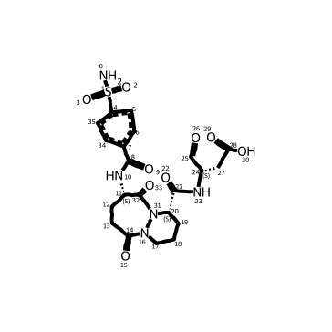 NS(=O)(=O)c1ccc(C(=O)N[C@H]2CCC(=O)N3CCC[C@@H](C(=O)N[C@H](C=O)CC(=O)O)N3C2=O)cc1